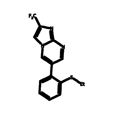 CCSc1ccccc1-c1cnc2nc(C(F)(F)F)cn2c1